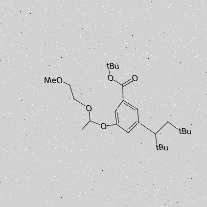 COCCOC(C)Oc1cc(C(=O)OC(C)(C)C)cc(C(CC(C)(C)C)C(C)(C)C)c1